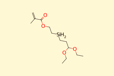 C=C(C)C(=O)OCC[SiH2]CCC(OCC)OCC